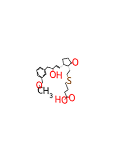 COCc1cccc(C[C@H](O)/C=C/[C@@H]2CCC(=O)[C@@H]2CCSCCCC(=O)O)c1